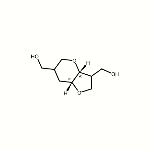 OCC1CO[C@@H]2C(CO)CO[C@@H]2C1